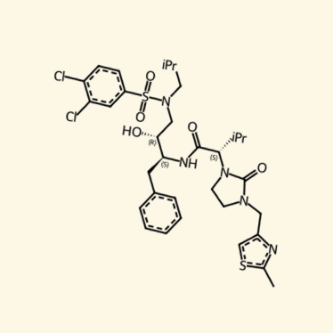 Cc1nc(CN2CCN([C@H](C(=O)N[C@@H](Cc3ccccc3)[C@H](O)CN(CC(C)C)S(=O)(=O)c3ccc(Cl)c(Cl)c3)C(C)C)C2=O)cs1